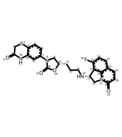 O=C1CSc2ccc(N3C[C@H](CCCN[C@H]4Cn5c(=O)ccc6ccc(F)c4c65)OC3=O)cc2N1